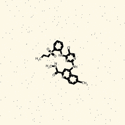 CCCS(=O)(=O)c1ccccc1Nc1nc(Nc2cc(C(=O)NC)nc3ccc(C)cc23)ncc1Cl